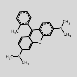 Cc1ccccc1C1=C2C=CC(N(C)C)C=C2Oc2cc(N(C)C)ccc21